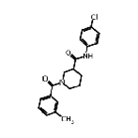 Cc1cccc(C(=O)N2CCCC(C(=O)Nc3ccc(Cl)cc3)C2)c1